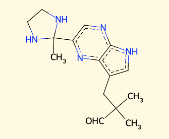 CC(C)(C=O)Cc1c[nH]c2ncc(C3(C)NCCN3)nc12